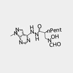 CCCCC[C@@H](CN(O)C=O)C(=O)NNc1ncnc2c1cnn2C